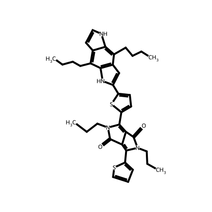 CCCCc1c2cc(-c3ccc(C4=C5C(=O)N(CCC)C(c6cccs6)=C5C(=O)N4CCC)s3)[nH]c2c(CCCC)c2cc[nH]c12